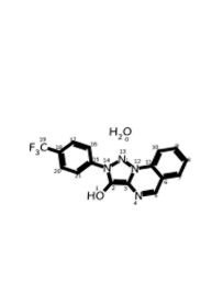 O.OC1=C2N=Cc3ccccc3N2[N]N1c1ccc(C(F)(F)F)cc1